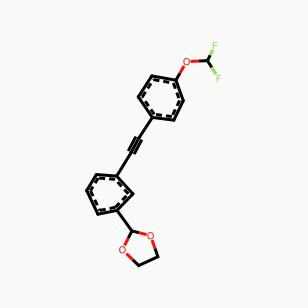 FC(F)Oc1ccc(C#Cc2cccc(C3OCCO3)c2)cc1